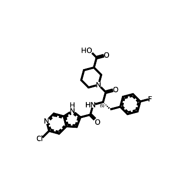 O=C(N[C@@H](Cc1ccc(F)cc1)C(=O)N1CCCC(C(=O)O)C1)c1cc2cc(Cl)ncc2[nH]1